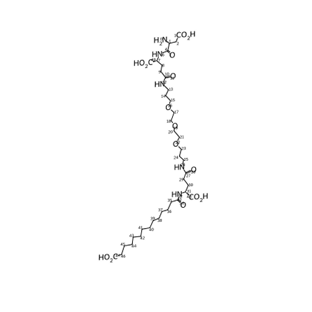 N[C@@H](CC(=O)O)C(=O)N[C@@H](CCC(=O)NCCCOCCOCCOCCCNC(=O)CC[C@H](NC(=O)CCCCCCCCCCCCC(=O)O)C(=O)O)C(=O)O